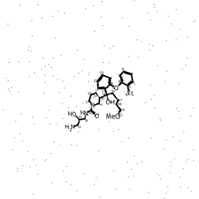 CCc1ccccc1Oc1ccccc1[C@](O)(CCCCOC)[C@@H]1CCCN(C(=O)NCC(O)CN)C1